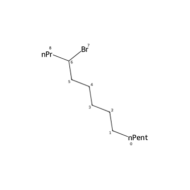 CCCCCCCCCCC(Br)CCC